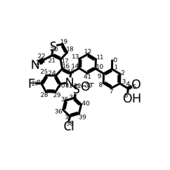 Cc1cc(C(=O)O)ccc1-c1cccc(-c2c(-c3ccsc3C#N)c3cc(F)ccc3n2[S+]([O-])c2ccc(Cl)cc2)c1